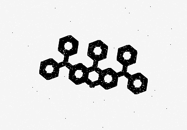 c1ccc(N(c2ccccc2)c2ccc3c(c2)N(c2ccccc2)c2cc(N(c4ccccc4)c4ccccc4)ccc2O3)cc1